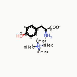 CCCCCC[N+](CCCCCC)(CCCCCC)CCCCCC.N[C@@H](Cc1ccc(O)cc1)C(=O)[O-]